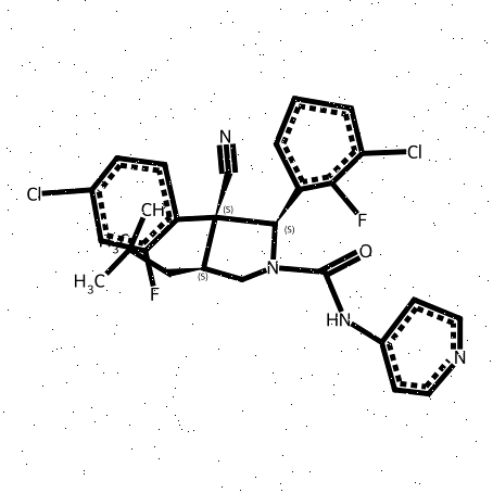 CC(C)(C)C[C@@H]1CN(C(=O)Nc2ccncc2)[C@H](c2cccc(Cl)c2F)[C@@]1(C#N)c1ccc(Cl)cc1F